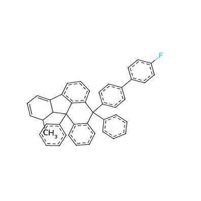 CC1C=CC=C2c3cccc4c3C(c3ccccc3)(c3ccccc3C4(c3ccccc3)c3ccc(-c4ccc(F)cc4)cc3)C21